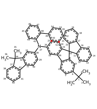 CC(C)(C)c1ccc2c(c1)C1(c3ccccc3-c3ccccc31)c1ccc(N(c3ccc4c(c3)C(C)(C)c3ccccc3-4)c3ccccc3-c3ccccc3)cc1-2